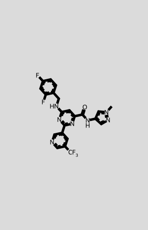 Cn1cc(NC(=O)c2cc(NCc3ccc(F)cc3F)nc(-c3cncc(C(F)(F)F)c3)n2)cn1